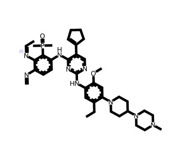 C=Nc1ccc(Nc2nc(Nc3cc(CC)c(N4CCC(N5CCN(C)CC5)CC4)cc3OC)ncc2C2=CCCC2)c(P(C)(C)=O)c1/N=C\C